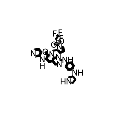 O=c1c(Nc2cccnc2)cc2cnc(Nc3ccc(NC4CCNC4)cc3)nc2n1Cc1cccn1S(=O)(=O)CC(F)(F)F